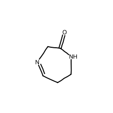 O=C1CN=CCCN1